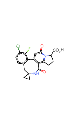 O=C1NC2(CC2)Cc2ccc(Cl)c(F)c2-c2cc(=O)n3c(c21)CCC3C(=O)O